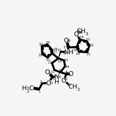 C=CCOC(=O)N[C@]1(C(=O)OC)CC[C@](CNC(=O)c2ccccc2OC)(c2ccccc2)CC1